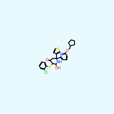 O=C1CC(c2ccsc2)(c2cccc(OCC3CCCC3)n2)NC(O)C1Sc1ccccc1Cl